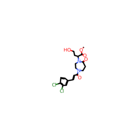 COC(=O)C(CCO)N1CCN(C(=O)C=Cc2ccc(Cl)c(Cl)c2)CCC1=O